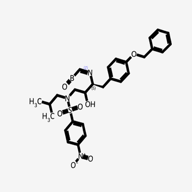 CC(C)CN(CC(O)[C@H](Cc1ccc(OCc2ccccc2)cc1)/N=C\B=O)S(=O)(=O)c1ccc([N+](=O)[O-])cc1